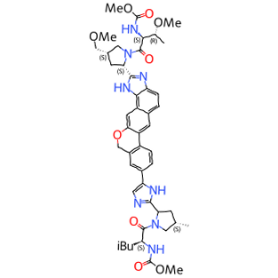 CCC(C)[C@H](NC(=O)OC)C(=O)N1C[C@@H](C)CC1c1ncc(-c2ccc3c(c2)COc2cc4c(ccc5nc([C@@H]6C[C@H](COC)CN6C(=O)[C@@H](NC(=O)OC)[C@@H](C)OC)[nH]c54)cc2-3)[nH]1